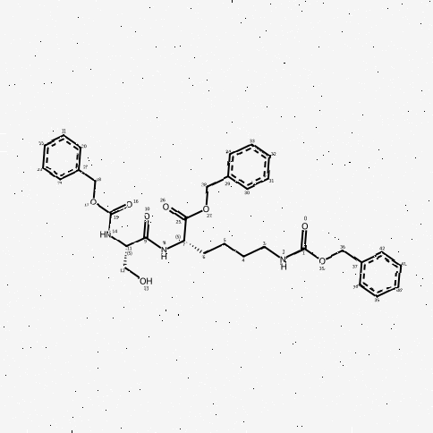 O=C(NCCCC[C@H](NC(=O)[C@H](CO)NC(=O)OCc1ccccc1)C(=O)OCc1ccccc1)OCc1ccccc1